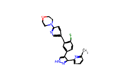 Cc1cccc(-c2n[nH]cc2-c2ccc(F)c(-c3ccc(N4CCOCC4)nc3)c2)n1